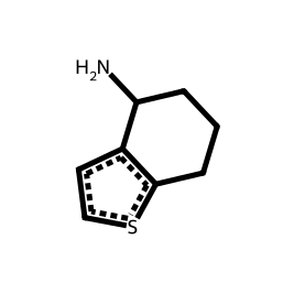 NC1CCCc2sccc21